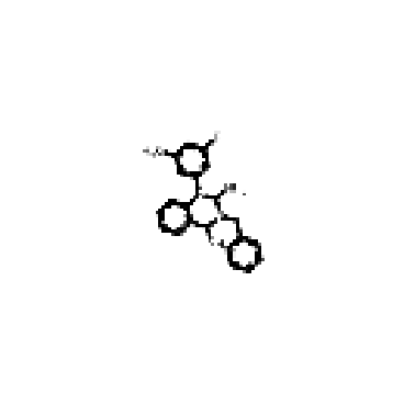 Cc1cc(F)cc(N2c3ccccc3C(N)N(Cc3ccccc3)C2N)c1